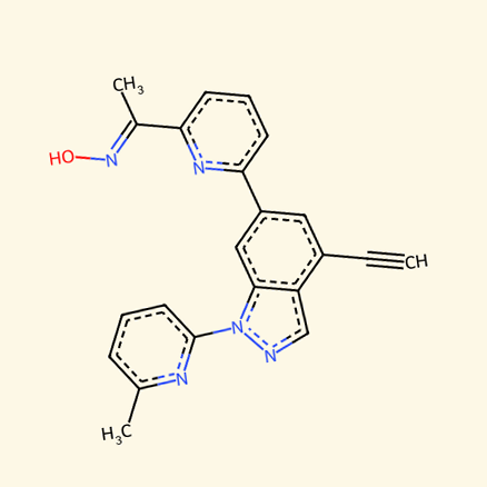 C#Cc1cc(-c2cccc(C(C)=NO)n2)cc2c1cnn2-c1cccc(C)n1